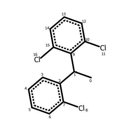 C[C](c1ccccc1Cl)c1c(Cl)cccc1Cl